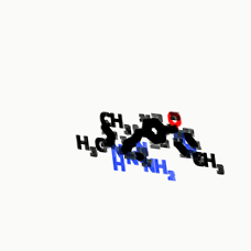 CCC[C@@H](C)Nc1cc(Cc2ccc(C(=O)N3CCN(C)CC3)cc2)nc(N)n1